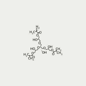 C=C(C)C(=O)OCC(O)COC[C@H](OCC(O)COC(=O)C(=C)C)[C@@H](CO)OCC(O)COC(=O)C(=C)C